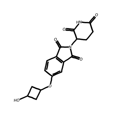 O=C1CCC(N2C(=O)c3ccc(OC4CC(O)C4)cc3C2=O)C(=O)N1